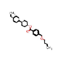 C=CCCOCc1ccc(C(=O)O[C@H]2CC[C@H]([C@H]3CC[C@H](C=C)CC3)CC2)cc1